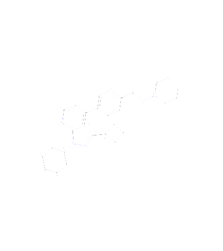 O=C(O)c1cc(-c2ccc(CCN3CCOCC3)cc2)c2c(C3CCC3)nn(C3CCCCC3)c2n1